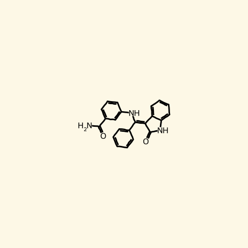 NC(=O)c1cccc(NC(=C2C(=O)Nc3ccccc32)c2ccccc2)c1